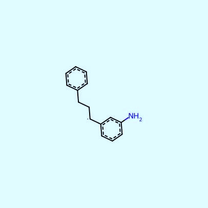 Nc1cccc([CH]CCc2ccccc2)c1